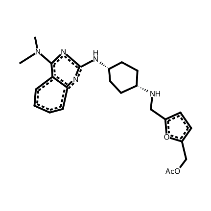 CC(=O)OCc1ccc(CN[C@H]2CC[C@@H](Nc3nc(N(C)C)c4ccccc4n3)CC2)o1